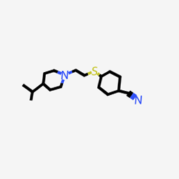 CC(C)C1CCN(CCSC2CCC(C#N)CC2)CC1